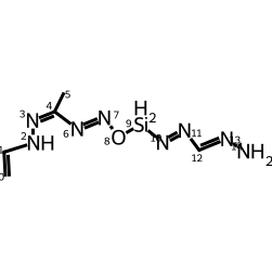 C=CNN=C(C)N=NO[SiH2]N=NC=NN